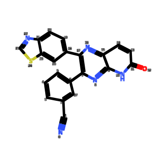 N#Cc1cccc(-c2nc3[nH]c(=O)ccc3nc2-c2ccc3ncsc3c2)c1